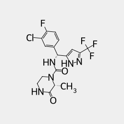 C[C@@H]1C(=O)NCCN1C(=O)N[C@H](c1ccc(F)c(Cl)c1)c1cc(C(F)(F)F)n[nH]1